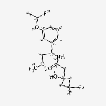 O=C(CC1(O)CC(F)(F)C1)NC(COC(F)(F)F)c1cccc(OC(F)F)c1